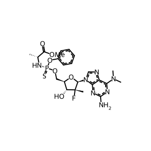 COC(=O)[C@@H](C)N[P@@](=S)(OC[C@H]1O[C@@H](n2cnc3c(N(C)C)nc(N)nc32)[C@](C)(F)[C@@H]1O)Oc1ccccc1